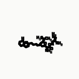 CN(C)C(=O)CN(CCCCc1ccc2c(n1)NCCC2)CC[C@H](N)C(=O)O/N=C/C(N)=C\N